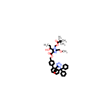 CCC(O)c1c(C(=O)OCc2ccc(-c3ccccc3-c3nnnn3C(c3ccccc3)(c3ccccc3)c3ccccc3)cc2)nc(COC)n1COC(=O)C(C)(C)C